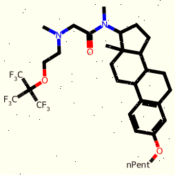 CCCCCOc1ccc2c(c1)CCC1C2CCC2(C)C1CCC2N(C)C(=O)CN(C)CCOC(C(F)(F)F)(C(F)(F)F)C(F)(F)F